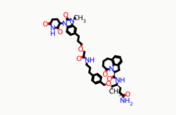 C[C@@H](OCc1ccc(CCCNC(=O)COCCCc2ccc3c(c2)n(C)c(=O)n3C2CCC(=O)NC2=O)cc1)[C@H](CCC(N)=O)NC(=O)[C@@H]1Cc2cccc3c2N1C(=O)CCC3